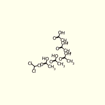 CC(=O)O.CC(=O)O.CC(=O)O.CC(=O)O.CC(=O)O.ClC(Cl)Cl